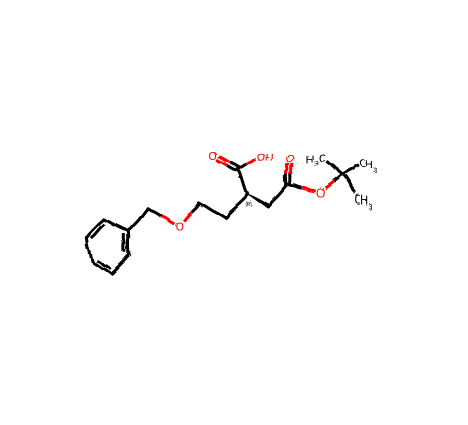 CC(C)(C)OC(=O)C[C@@H](CCOCc1ccccc1)C(=O)O